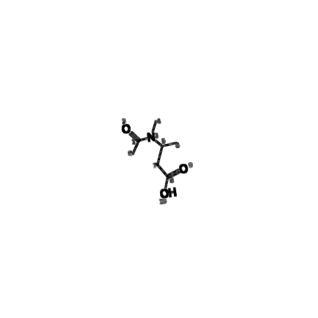 CC(=O)N(C)C(C)CC(=O)O